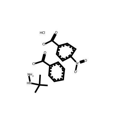 CC(C)(C)NN.Cl.O=C(Cl)c1ccc([N+](=O)[O-])cc1.O=C(Cl)c1ccccc1